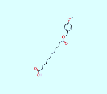 COc1ccc(COC(=O)CCCCCCCCCCC(=O)O)cc1